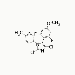 COc1cc(F)c(-c2c(Cl)nc(Cl)n2-c2ccc(C)nc2)c(F)c1